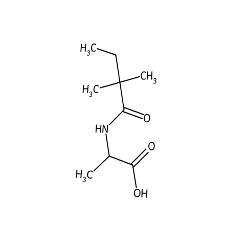 CCC(C)(C)C(=O)NC(C)C(=O)O